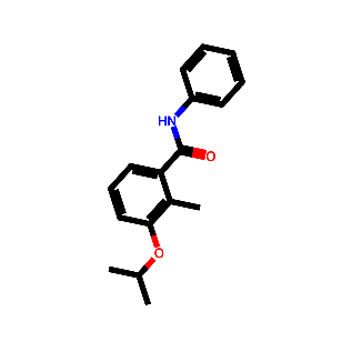 Cc1c(OC(C)C)cccc1C(=O)Nc1ccccc1